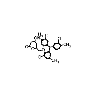 Cc1cc(Cl)c(OCC2CC(O)CC(=O)O2)c(C(c2ccc(C)c(Cl)c2)c2ccc(C)c(Cl)c2)c1